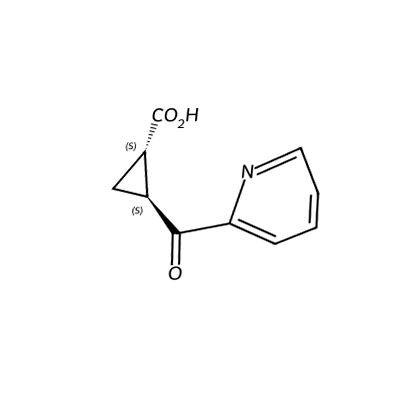 O=C(O)[C@H]1C[C@@H]1C(=O)c1ccccn1